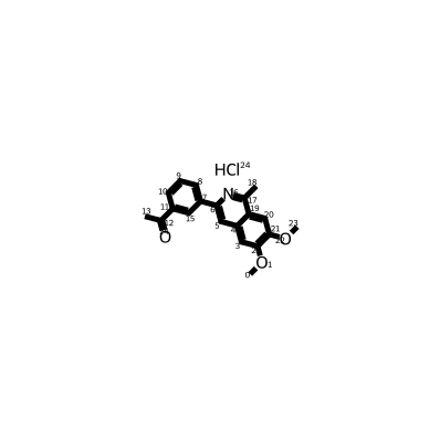 COc1cc2cc(-c3cccc(C(C)=O)c3)nc(C)c2cc1OC.Cl